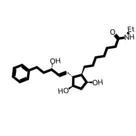 CCNC(=O)CCCCCC[C@@H]1[C@@H](/C=C/[C@@H](O)CCc2ccccc2)[C@H](O)C[C@@H]1O